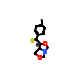 Cc1ccc(C(=S)[C@H]2OCN3COCC23)cc1